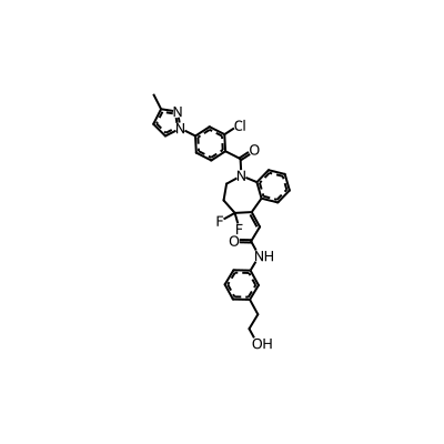 Cc1ccn(-c2ccc(C(=O)N3CCC(F)(F)/C(=C\C(=O)Nc4cccc(CCO)c4)c4ccccc43)c(Cl)c2)n1